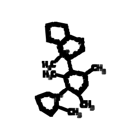 Cc1cc(C)c(-[n+]2ccccc2C)c(C)c1-c1cnc2ccccc2[n+]1C